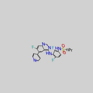 CCCS(=O)(=O)Nc1ccc(F)c(Nc2ncnc3cc(F)c(-c4ccncc4)cc23)c1F